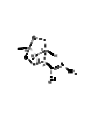 CC[C@@H](C)C(=NN)[C@H]1CO[C@]2(C)OC[C@H]1[C@H]2C